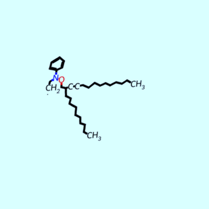 [CH2]CN(OCC(CCCCCCCCCC)CCCCCCCCCCCC)c1ccccc1